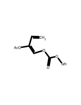 C=C/C(=C\OC(=O)OCCC)OC(C)=O